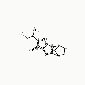 CCC(C)n1[nH]c2c(cc3n2C2CCC3C2)c1=O